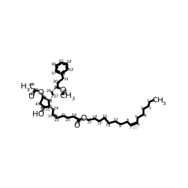 CCCCCC/C=C\CCCCCCCCOC(=O)CCC/C=C\C[C@@H]1[C@@H](CC[C@H](CCc2ccccc2)OC)[C@H](OC(C)=O)C[C@@H]1O